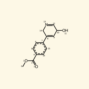 COC(=O)c1ccc(C2=CC(O)C=NC2)cc1